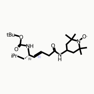 CC(C)C[C@@H](/C=C/CC(=O)NC1CC(C)(C)N([O])C(C)(C)C1)NC(=O)OC(C)(C)C